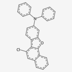 Clc1cc2ccccc2c2oc3cc(N(c4ccccc4)c4ccccc4)ccc3c12